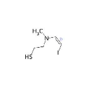 CN(/C=C\I)CCS